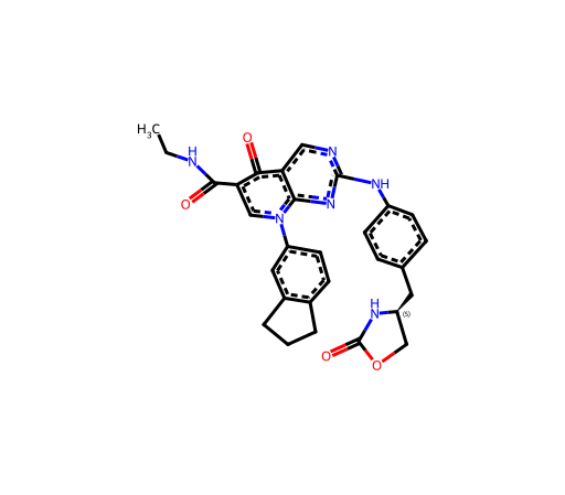 CCNC(=O)c1cn(-c2ccc3c(c2)CCC3)c2nc(Nc3ccc(C[C@H]4COC(=O)N4)cc3)ncc2c1=O